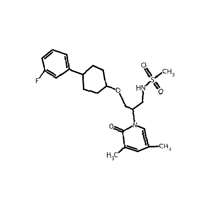 Cc1cc(C)c(=O)n(C(CNS(C)(=O)=O)COC2CCC(c3cccc(F)c3)CC2)c1